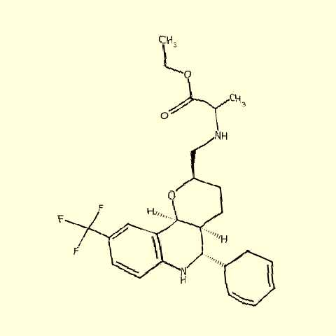 CCOC(=O)C(C)NC[C@H]1CC[C@@H]2[C@H](O1)c1cc(C(F)(F)F)ccc1N[C@H]2C1C=CC=CC1